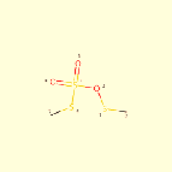 CSOS(=O)(=O)SC